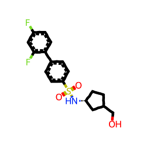 O=S(=O)(N[C@@H]1CCC(CO)C1)c1ccc(-c2ccc(F)cc2F)cc1